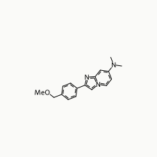 COCc1ccc(-c2cn3ccc(N(C)C)cc3n2)cc1